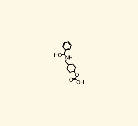 O=C(O)OC1CCC(CNC(O)c2ccccc2)CC1